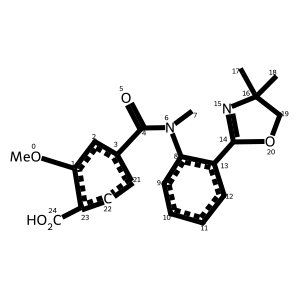 COc1cc(C(=O)N(C)c2ccccc2C2=NC(C)(C)CO2)ccc1C(=O)O